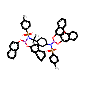 Cc1ccc(S(=O)(=O)N(C2CCC(C(C)(C)N(P(Oc3ccc4ccccc4c3)Oc3ccc4ccccc4c3)S(=O)(=O)c3ccc(C)cc3)CC2)P(Oc2ccc3ccccc3c2)Oc2ccc3ccccc3c2)cc1